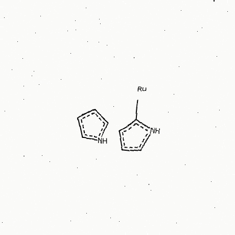 Cc1ccc[nH]1.[Ru].c1cc[nH]c1